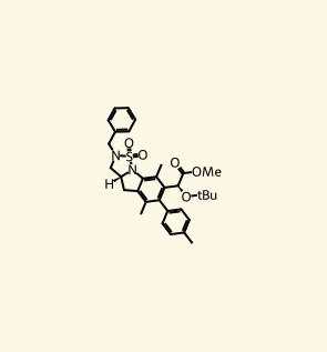 COC(=O)[C@@H](OC(C)(C)C)c1c(C)c2c(c(C)c1-c1ccc(C)cc1)C[C@@H]1CN(Cc3ccccc3)S(=O)(=O)N21